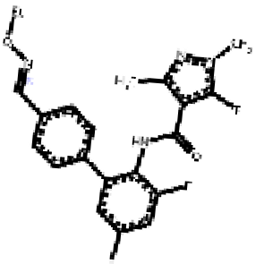 CCO/N=C/c1ccc(-c2cc(F)cc(F)c2NC(=O)c2c(C)nn(C)c2F)cc1